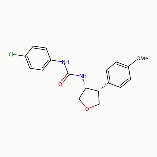 COc1ccc([C@@H]2COC[C@@H]2NC(=O)Nc2ccc(Cl)cc2)cc1